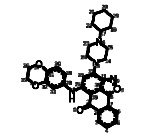 O=C1c2ccccc2-c2onc3c(N4CCN(C5CCCCC5)CC4)cc(Nc4ccc5c(c4)OCCO5)c1c23